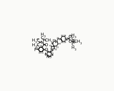 CC(C)N(C(=O)c1cc(F)ccc1Oc1nncnc1N1CC2(CCN(CC3=CCN(C(=O)OC(C)(C)C)CC3)CC2)C1)C(C)C